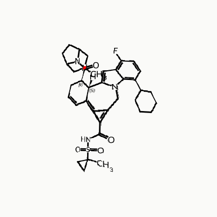 CN1CC2CCC(C1)N2C(=O)[C@@H]1CC=CC2=C3C(=C3C(=O)NS(=O)(=O)C3(C)CC3)Cn3c(cc4c(F)ccc(C5CCCCC5)c43)[C@H]21